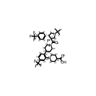 CC(C)(C)N1C[C@@H](c2ccc(C(F)(F)F)cc2)[C@](F)(C(=O)N2CCC(c3ccc(C(F)(F)F)cc3N3CCC(C(=O)O)CC3)CC2)C1